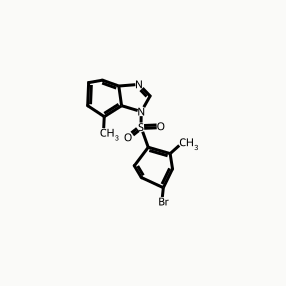 Cc1cc(Br)ccc1S(=O)(=O)n1cnc2cccc(C)c21